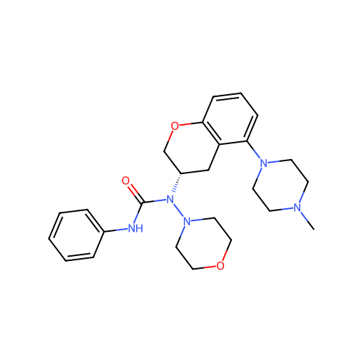 CN1CCN(c2cccc3c2C[C@H](N(C(=O)Nc2ccccc2)N2CCOCC2)CO3)CC1